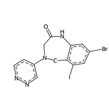 O=C1CN(c2ccnnc2)Cc2c(I)cc(Br)cc2N1